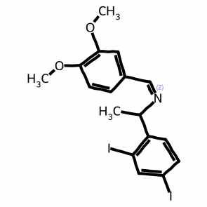 COc1ccc(/C=N\C(C)c2ccc(I)cc2I)cc1OC